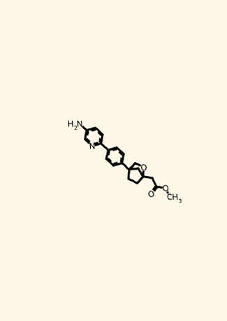 COC(=O)CC12CCC(c3ccc(-c4ccc(N)cn4)cc3)(CO1)C2